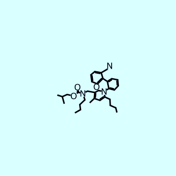 CCCCc1cc(C)c(CN(CCCC)C(=O)OCC(C)C)c(=O)n1-c1ccccc1-c1ccccc1C#N